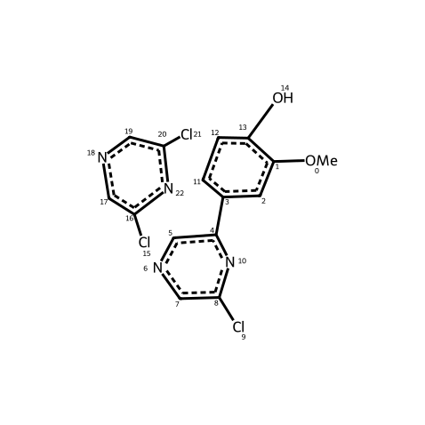 COc1cc(-c2cncc(Cl)n2)ccc1O.Clc1cncc(Cl)n1